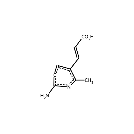 Cc1nc(N)ccc1C=CC(=O)O